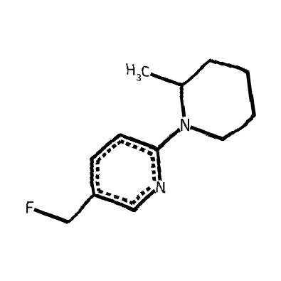 CC1CCCCN1c1ccc(CF)cn1